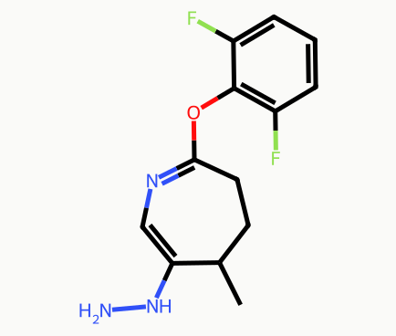 CC1CCC(Oc2c(F)cccc2F)=NC=C1NN